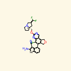 N#Cc1c(N)[se]c2cccc(-c3c4c(c5cnc(OC[C@]67CCCN6CC(=C(F)F)C7)nc5c3Cl)COC4)c12